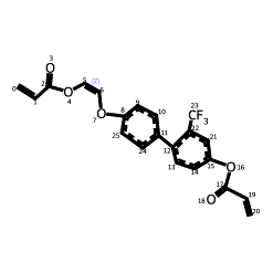 C=CC(=O)O/C=C\Oc1ccc(-c2ccc(OC(=O)C=C)cc2C(F)(F)F)cc1